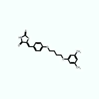 Cc1cc(C)cc(OCCCCOc2ccc(/C=C3\SC(=S)NC3=O)cc2)c1